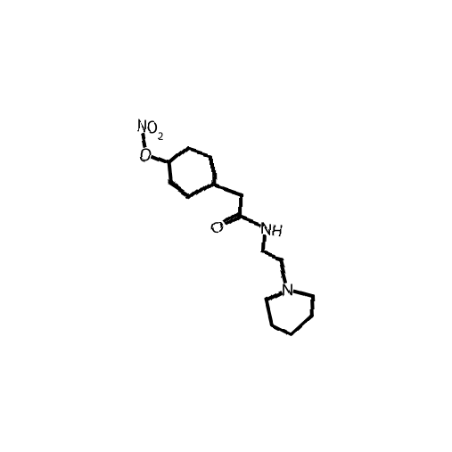 O=C(CC1CCC(O[N+](=O)[O-])CC1)NCCN1CCCCC1